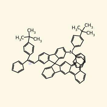 CC(C)(C)c1ccc(/C(=C\c2ccc3c(c2)C2(c4ccccc4-c4cc5c6ccccc6c6ccccc6c5cc42)c2cc(N(c4ccccc4)c4ccc(C(C)(C)C)cc4)ccc2-3)c2ccccc2)cc1